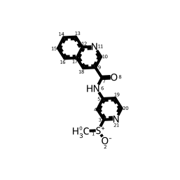 C[S+]([O-])c1cc(NC(=O)c2cnc3ccccc3c2)ccn1